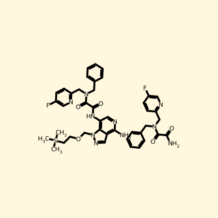 C[Si](C)(C)CCOCn1ncc2c(N)ncc(NC(=O)C(=O)N(Cc3ccccc3)Cc3ccc(F)cn3)c21.NC(=O)C(=O)N(Cc1ccccc1)Cc1ccc(F)cn1